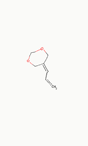 C=CC=C1COCOC1